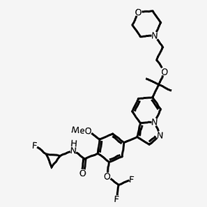 COc1cc(-c2cnn3cc(C(C)(C)OCCN4CCOCC4)ccc23)cc(OC(F)F)c1C(=O)NC1CC1F